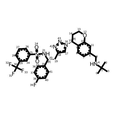 CC(C)(C)NCc1ccc2c(c1)OCC[C@H]2n1cc(C[C@@H](NS(=O)(=O)c2cccc(C(F)(F)F)c2)c2ccc(F)cc2)nn1